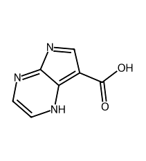 O=C(O)c1cnc2ncc[nH]c1-2